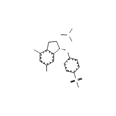 CN(C)C[C@H]1Cc2c(Cl)cc(Cl)cc2[C@@H]1Oc1ccc(S(C)(=O)=O)cc1